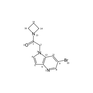 O=C(Cn1ccc2ncc(Br)cc21)N1CCC1